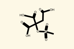 CS(=O)(=O)OC(CC(=O)O)(C(=O)O)C(=O)O